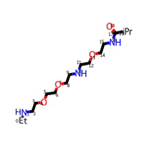 CCNCCOCCOCCNCCOCCNC(=O)C(C)C